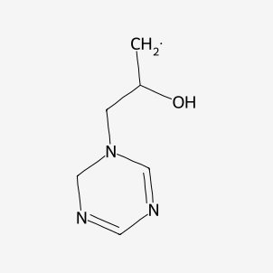 [CH2]C(O)CN1C=NC=NC1